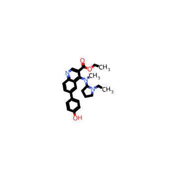 CCOC(=O)c1cnc2ccc(-c3ccc(O)cc3)cc2c1N(C)C1CCCN1CC